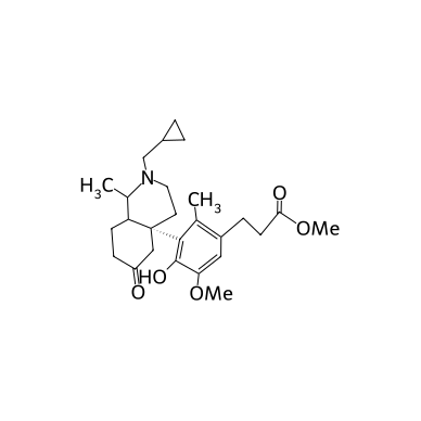 COC(=O)CCc1cc(OC)c(O)c([C@@]23CCN(CC4CC4)C(C)C2CCC(=O)C3)c1C